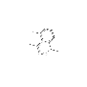 [CH2]c1c(C)cc(C)c2cccc(C)c12